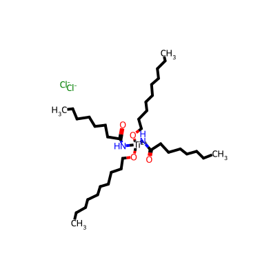 CCCCCCCCCC[O][Ti+2]([NH]C(=O)CCCCCCC)([NH]C(=O)CCCCCCC)[O]CCCCCCCCCC.[Cl-].[Cl-]